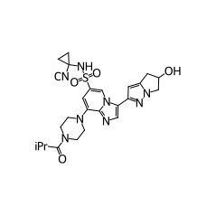 CC(C)C(=O)N1CCN(c2cc(S(=O)(=O)NC3(C#N)CC3)cn3c(-c4cc5n(n4)CC(O)C5)cnc23)CC1